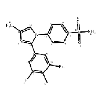 Cc1c(F)cc(-c2nc(C(F)(F)F)cn2-c2ccc(S(N)(=O)=O)cc2)cc1F